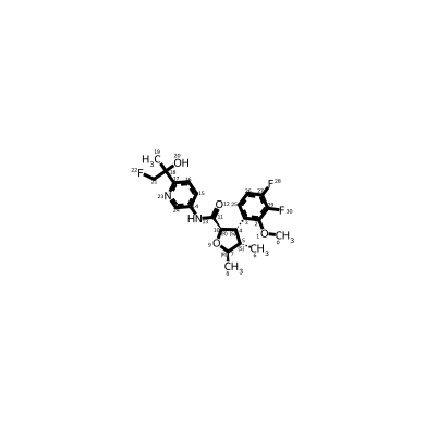 COc1c([C@@H]2[C@H](C)[C@@H](C)O[C@H]2C(=O)Nc2ccc(C(C)(O)CF)nc2)ccc(F)c1F